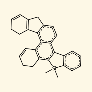 C[Si]1(C)c2ccccc2-c2c1c1c(c3c4c(ccc23)CC2=C4CCC=C2)C=CCC1